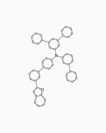 c1ccc(-c2cccc(N(c3ccc(-c4cccc(-c5cc6ccccc6o5)c4)cc3)c3cc(-c4ccccc4)cc(-c4ccccc4)c3)c2)cc1